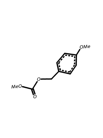 [CH2]OC(=O)OCc1ccc(OC)cc1